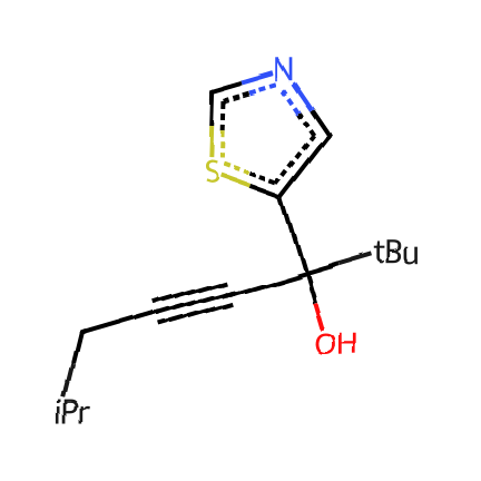 CC(C)CC#CC(O)(c1cncs1)C(C)(C)C